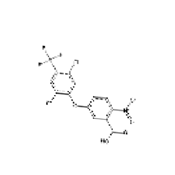 O=C(O)c1cc(Oc2cc(Cl)c(C(F)(F)F)cc2Cl)ccc1[N+](=O)[O-]